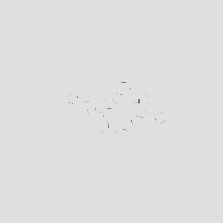 CC1(C)C2=C(CC=CC=C2)c2cc3c4cc5c(cc4n(-c4cccc(-c6cccc(-c7ccc(N(c8ccccc8)c8ccccc8)cc7)c6)c4)c3cc21)C(C)(C)c1ccccc1-5